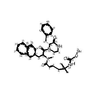 CN(C(=O)/C=C/CC(C)(C)NC(=O)OC(C)(C)C)C(Cc1ccc2ccccc2c1)C(=O)N1CCNC(=O)[C@H]1Cc1ccccc1